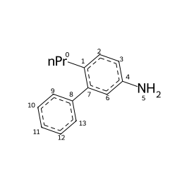 CCCc1ccc(N)cc1-c1ccccc1